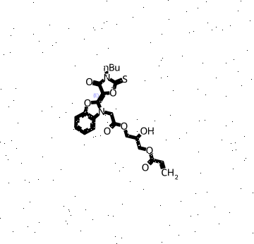 C=CC(=O)OCC(O)COC(=O)CN1/C(=C2\OC(=S)N(CCCC)C2=O)Oc2ccccc21